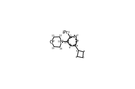 CC(C)c1ncc(C2CCC2)cc1N1CCOCC1